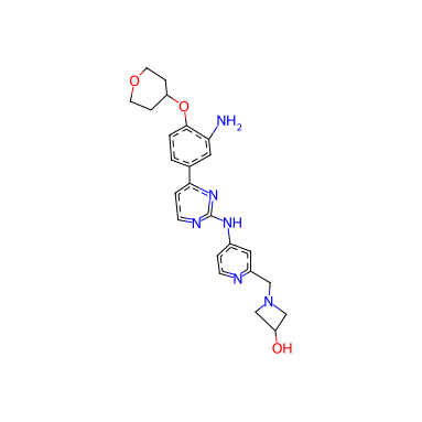 Nc1cc(-c2ccnc(Nc3ccnc(CN4CC(O)C4)c3)n2)ccc1OC1CCOCC1